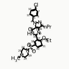 CCCc1nn(Cc2ccc(Cl)cc2)c2c(=O)[nH]c(-c3cc(S(=O)(=O)N4CCN(C)CC4)ccc3OCC)nc12